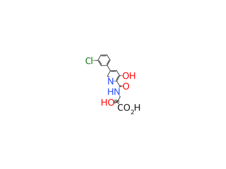 O=C(NC[C@@H](O)C(=O)O)c1ncc(-c2cccc(Cl)c2)cc1O